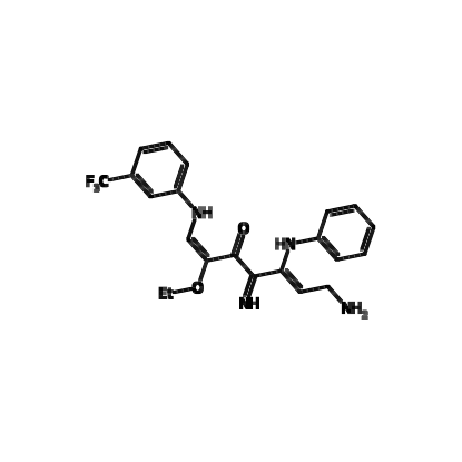 CCO/C(=C/Nc1cccc(C(F)(F)F)c1)C(=O)C(=N)/C(=C/CN)Nc1ccccc1